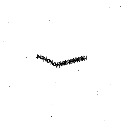 CCN(CC)c1ccc(N=Nc2ccc(N=Nc3ccc(C(=O)ON=NN=NN=NN=NN=NN=NN=NN=NN=NN=NC)cc3)cc2)cc1